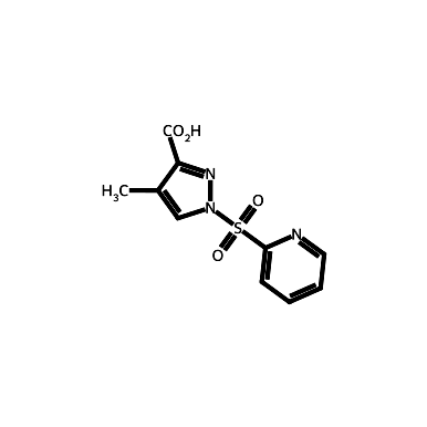 Cc1cn(S(=O)(=O)c2ccccn2)nc1C(=O)O